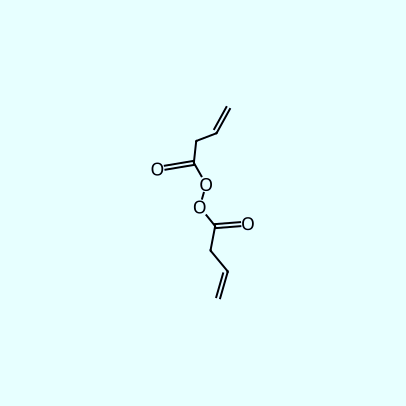 C=CCC(=O)OOC(=O)CC=C